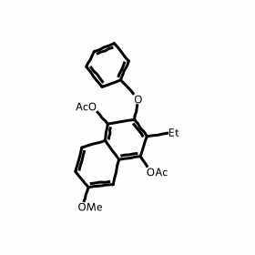 CCc1c(Oc2ccccc2)c(OC(C)=O)c2ccc(OC)cc2c1OC(C)=O